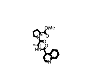 COC(=O)[C@@H]1CCCN1C(=O)[C@H](C)NC(=O)c1ccnc2ccccc12